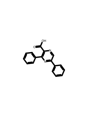 O=C(O)c1ncc(-c2ccccc2)nc1-c1ccccc1